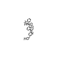 CC(C)(C)c1ccccc1NC(=O)c1cccc2c1OCCN2c1ccc(CO)cn1